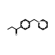 CCC(=O)c1ccc(C[n+]2ccccc2)cc1